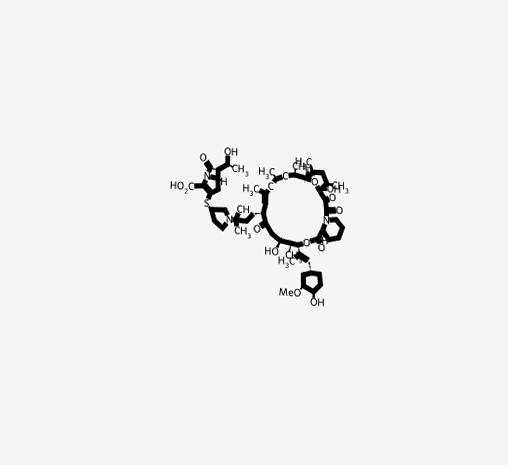 CO[C@@H]1C[C@H](/C=C(\C)[C@H]2OC(=O)[C@@H]3CCCCN3C(=O)C(=O)[C@]3(O)O[C@H]([C@@H](C)C[C@@H](C)C/C(C)=C/[C@@H](CCC(C)(C)N4CC[C@H](SC5=C(C(=O)O)N6C(=O)[C@H]([C@@H](C)O)[C@H]6C5)C4)C(=O)C[C@H](O)[C@H]2C)[C@@H](C)C[C@H]3C)CC[C@H]1O